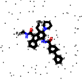 CC(C)(C)CCc1c(N2CCCCC2)cc(NC(=O)c2ccc(-c3ccccc3)cc2)c2c1C(C(=O)NCC(F)(F)F)c1ccccc1-2